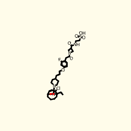 CCC12CCCCC(/C=C\C1Cl)CC/C(N1CCC(CCCOc3ccc(CC(=O)N4CC(C(=O)NCCS(=O)(=O)O)C4)c(F)c3)CC1)=N\2